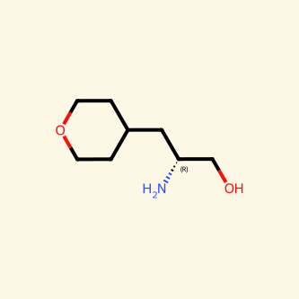 N[C@@H](CO)CC1CCOCC1